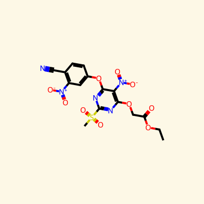 CCOC(=O)COc1nc(S(C)(=O)=O)nc(Oc2ccc(C#N)c([N+](=O)[O-])c2)c1[N+](=O)[O-]